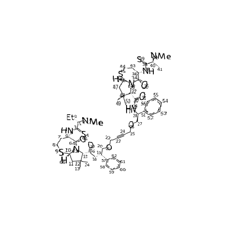 CC[C@H](NC)C(=S)N[C@H]1CCS[C@H]2CC(C)(C)[C@@H](C(=O)C[C@H](COCC#CCOC[C@@H](NC(=O)[C@H]3N4C(=O)[C@@H](NC(=S)[C@H](C)NC)CCS[C@H]4CC3(C)C)c3ccccc3)c3ccccc3)N2C1=O